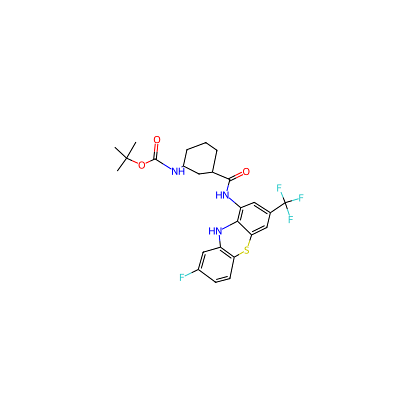 CC(C)(C)OC(=O)NC1CCCC(C(=O)Nc2cc(C(F)(F)F)cc3c2Nc2cc(F)ccc2S3)C1